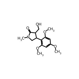 COc1cc(OC)c(C2CN(C)C(=O)C2CO)c(OC)c1